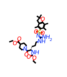 CCOC(=O)N[C@@H](CCCN/C(N)=N/S(=O)(=O)c1c(C)c(C)c2c(c1C)CC(C)(C)O2)C(=O)N1CCC(C(=O)OCC)CC1